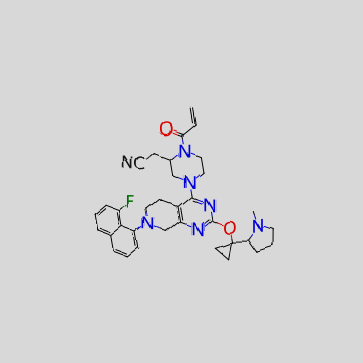 C=CC(=O)N1CCN(c2nc(OC3(C4CCCN4C)CC3)nc3c2CCN(c2cccc4cccc(F)c24)C3)CC1CC#N